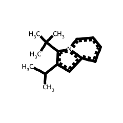 CC(C)c1cc2ccccn2c1C(C)(C)C